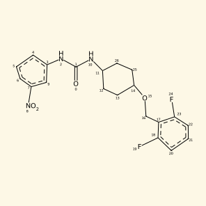 O=C(Nc1cccc([N+](=O)[O-])c1)NC1CCC(OCc2c(F)cccc2F)CC1